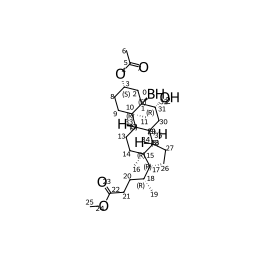 B[C@]12C[C@@H](OC(C)=O)CC[C@]1(C)[C@H]1CC[C@]3(C)[C@@H]([C@H](C)CCC(=O)OC)CC[C@H]3[C@@H]1C[C@H]2O